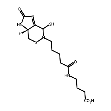 O=C(O)CCCNC(=O)CCCCN1SC[C@@H]2NC(=O)N=C2C1S